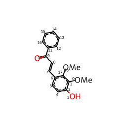 COc1c(O)ccc(C=CC(=O)c2ccccc2)c1OC